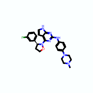 CN1CCN(c2ccc(Nc3nc(N4OCC[C@H]4c4cccc(F)c4)c4cc[nH]c4n3)cc2)CC1